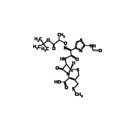 CSCC1=C(C(=O)O)N2C(=O)C(NC(=O)C(=NOC(C)C(=O)OC(C)(C)C)c3csc(NC=O)n3)[C@@H]2SC1